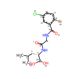 CC(C)C[C@H](NC(=O)CNC(=O)c1cc(Cl)ccc1Br)B(O)O